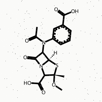 CO[C@@]1(C)S[C@@H]2C(N(C(C)=O)c3cccc(C(=O)O)c3)C(=O)N2C1C(=O)O